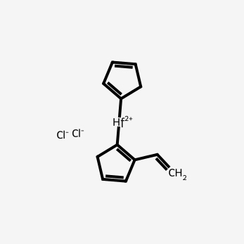 C=CC1=[C]([Hf+2][C]2=CC=CC2)CC=C1.[Cl-].[Cl-]